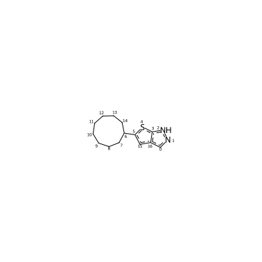 c1n[nH]c2sc(C3CCCCCCCC3)cc12